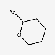 CC(=O)C1CCCCO1